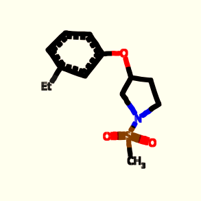 CCc1cccc(OC2CCN(S(C)(=O)=O)C2)c1